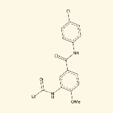 CCC(=O)Nc1cc(C(=O)Nc2ccc(Cl)cc2)ccc1OC